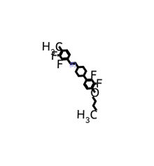 CCCCCOc1ccc(C2CCC(/C=C/c3ccc(C)c(F)c3F)CC2)c(F)c1F